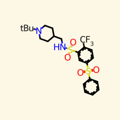 CC(C)(C)N1CCC(CNS(=O)(=O)c2cc(S(=O)(=O)c3ccccc3)ccc2C(F)(F)F)CC1